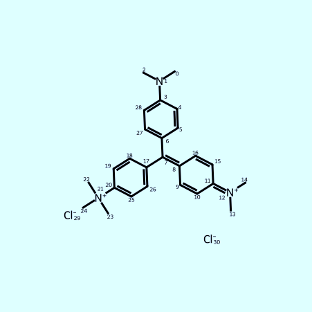 CN(C)c1ccc(C(=C2C=CC(=[N+](C)C)C=C2)c2ccc([N+](C)(C)C)cc2)cc1.[Cl-].[Cl-]